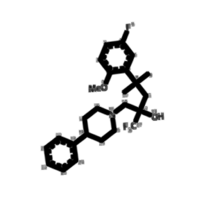 COc1ccc(F)cc1C(C)(C)CC(O)(CN1CCC(c2ccccc2)CC1)C(F)(F)F